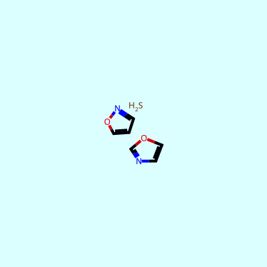 S.c1cnoc1.c1cocn1